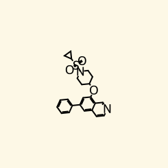 O=S(=O)(C1CC1)N1CCC(Oc2cc(-c3ccccc3)cc3ccncc23)CC1